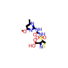 COc1cc(C)nc(NC(=O)NS(=O)(=O)c2csnc2C(=O)O)n1